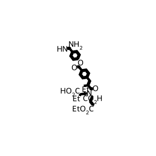 CCOC(=O)/C=C/CN(C(=O)/C(C)=C/c1ccc(C(=O)Oc2ccc(C(=N)N)cc2)cc1)[C@](CC)(C(=O)O)C(CC)C(=O)O